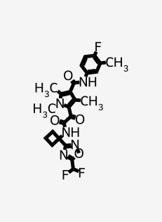 Cc1cc(NC(=O)c2c(C)c(C(=O)C(=O)NC3(c4noc(C(F)F)n4)CCC3)n(C)c2C)ccc1F